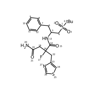 CC(C)(C)S(=O)(=O)CC(Cc1ccccc1)NC(=O)C(F)(CC(N)=O)Cc1cscn1